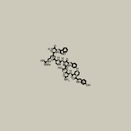 CNC(=N)NCCC[C@H](NC(=O)[C@H](CC(C)C)NC(=O)NNC(=O)[C@H](Cc1ccccc1)NC(=O)[C@@H](NC(=O)[C@H](CC(N)=O)NC(=O)C1CNCCN1C(=O)[C@@H](Cc1ccc(O)cc1)NC(C)=O)[C@@H](C)O)C(=O)N[C@@H](Cc1c[nH]c2ccccc12)C(N)=O